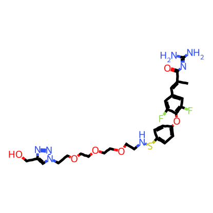 C/C(=C\c1cc(F)c(Oc2ccc(SNCCOCCOCCOCCn3cc(CO)nn3)cc2)c(F)c1)C(=O)N=C(N)N